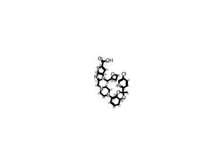 CC1(c2ccc(Cl)cn2)OC2=C(N3CCN(Cc4nc5sc(C(=O)O)cc5n4CC4CCO4)CC3)C=CCC2O1